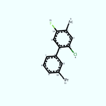 CC(=O)c1cc(Cl)c(-c2cccc(C(C)C)c2)cc1F